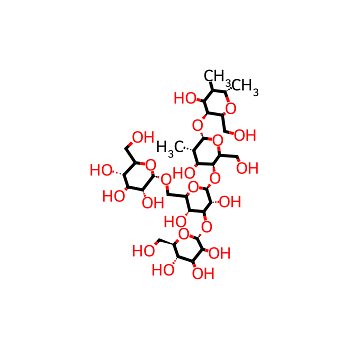 CC1C(O)[C@H](O[C@@H]2OC(CO)[C@@H](O[C@@H]3OC(CO[C@H]4OC(CO)[C@@H](O)C(O)[C@H]4O)[C@@H](O)C(O[C@H]4O[C@H](CO)[C@@H](O)C(O)C4O)[C@H]3O)C(O)[C@@H]2C)C(CO)O[C@H]1C